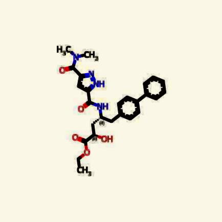 CCOC(=O)[C@H](O)C[C@@H](Cc1ccc(-c2ccccc2)cc1)NC(=O)c1cc(C(=O)N(C)C)n[nH]1